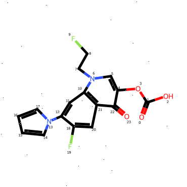 O=C(O)Oc1cn(CCF)c2cc(-n3cccc3)c(F)cc2c1=O